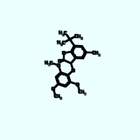 COc1cc(OC)c(OC2C(=O)Oc3c2cc(C)cc3C(C)(C)C)c(OC)c1